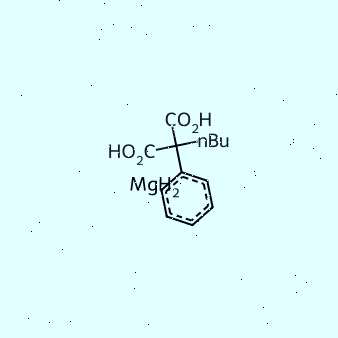 CCCCC(C(=O)O)(C(=O)O)c1ccccc1.[MgH2]